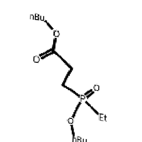 CCCCOC(=O)CCP(=O)(CC)OCCCC